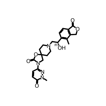 Cc1c([C@@H](O)CN2CCC3(CC2)CN(c2ccc(=O)n(C)n2)C(=O)O3)ccc2c1COC2=O